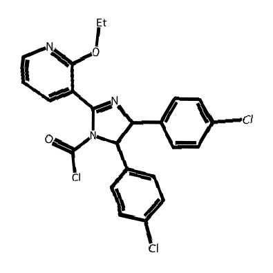 CCOc1ncccc1C1=NC(c2ccc(Cl)cc2)C(c2ccc(Cl)cc2)N1C(=O)Cl